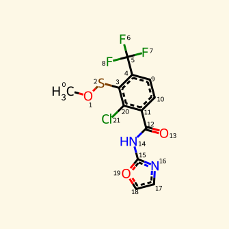 COSc1c(C(F)(F)F)ccc(C(=O)Nc2ncco2)c1Cl